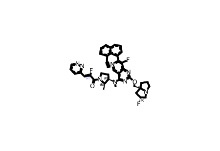 C#Cc1cccc2cccc(-c3ncc4c(N(C)[C@@H]5CCN(C(=O)/C(F)=C/c6cccnn6)[C@@H]5C)nc(OC[C@@]56CCCN5C[C@H](F)C6)nc4c3F)c12